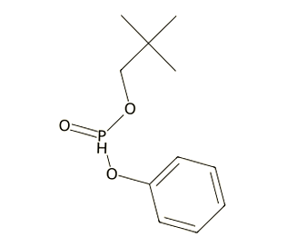 CC(C)(C)CO[PH](=O)Oc1ccccc1